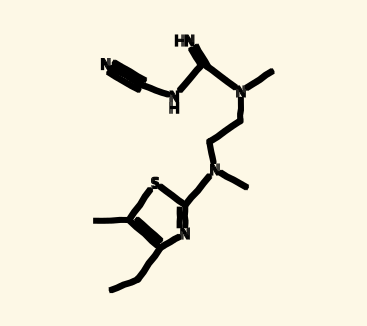 CCc1nc(N(C)CCN(C)C(=N)NC#N)sc1C